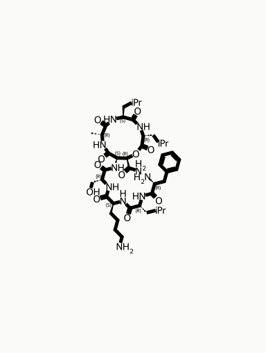 CC(C)C[C@@H]1NC(=O)[C@@H](C)NC(=O)[C@@H](NC(=O)[C@@H](CO)NC(=O)[C@H](CCCCN)NC(=O)[C@@H](CC(C)C)NC(=O)[C@H](N)Cc2ccccc2)[C@H](C(N)=O)OC(=O)[C@@H](CC(C)C)NC1=O